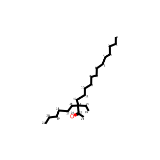 CCCCCCCCCCCCCC(CC)(CCCCCC)C(C)=O